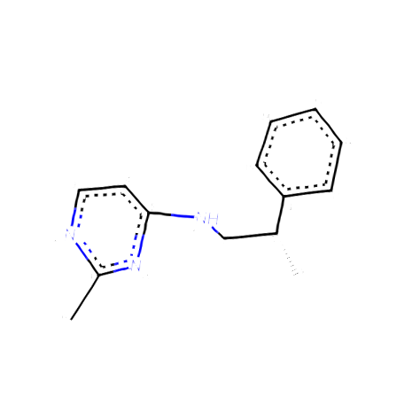 Cc1nccc(NC[C@@H](C)c2ccccc2)n1